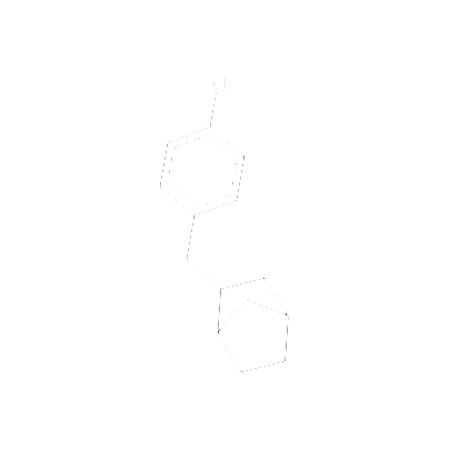 Clc1ccc(CC2CC3CCC2C3)cc1